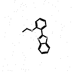 CCOc1ccccc1-c1nc2ccccc2s1